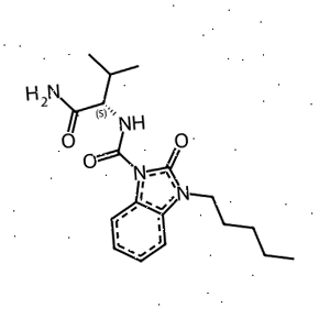 CCCCCn1c(=O)n(C(=O)N[C@H](C(N)=O)C(C)C)c2ccccc21